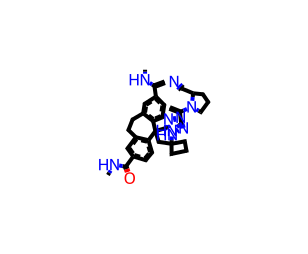 C=C(NC)c1ccc2c(c1)CCc1cc(C(=O)NC)ccc1C2(CC1(NCC(=C)N2CCCC2C#N)CCC1)c1nnn[nH]1